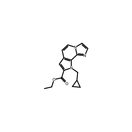 CCOC(=O)c1cc2ccn3ccnc3c2n1CC1CC1